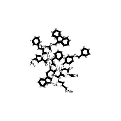 C#COC(=O)[C@@H](Cc1ccc(OCc2ccccc2)cc1)NC(=O)[C@@H](CCCCNC)NC(=O)C(Cc1cn(C)c2ccccc12)NC(=O)[C@H](NC(=O)C1CC(OP)CN1C(=O)C(Cc1ccccc1)NC(=O)OCC1c2ccccc2-c2ccccc21)c1ccccc1